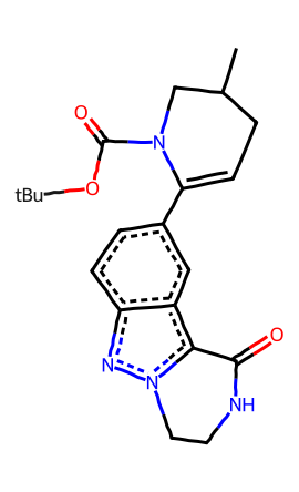 CC1CC=C(c2ccc3nn4c(c3c2)C(=O)NCC4)N(C(=O)OC(C)(C)C)C1